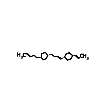 C/C=C/CC[C@H]1CC[C@H](CC/C=C/[C@H]2CC[C@H](/C=C/C)CC2)CC1